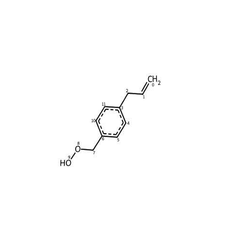 C=CCc1ccc(COO)cc1